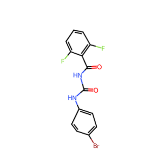 O=C(NC(=O)c1c(F)cccc1F)Nc1ccc(Br)cc1